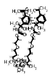 C=C(C)c1cccc(C(C)(C)NC(=O)OCCOCCCC[Si](C)(C)O[Si](C)(C)O[Si](C)(C)CCCOCCOC(=O)NC(C)(C)c2cccc(C(=C)C)c2)c1